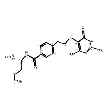 CCOC(=O)CC[C@@H](NC(=O)c1ccc(CCSc2c(N)nc(N)[nH]c2=O)cc1)C(=O)OCC